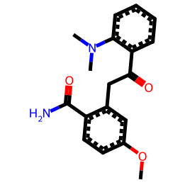 COc1ccc(C(N)=O)c(CC(=O)c2ccccc2N(C)C)c1